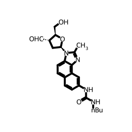 CCCCNC(=O)Nc1ccc2ccc3c(nc(C)n3[C@H]3C[C@H](C=O)[C@@H](CO)O3)c2c1